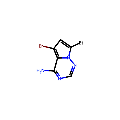 CCc1cc(Br)c2c(N)ncnn12